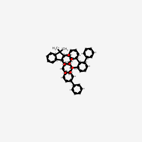 CC1(C)c2ccccc2-c2cc(N(c3cccc(-c4ccccc4)c3)c3cccc(-c4ccccc4)c3-c3ccccc3-c3ccccc3)ccc21